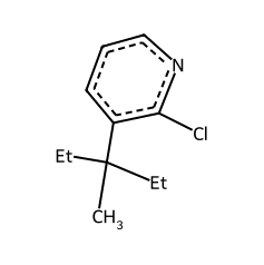 CCC(C)(CC)c1cccnc1Cl